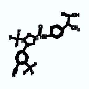 CN(C(=O)O)c1ccc(NC(=O)[C@@H]2CN(c3ccc(C#N)c(C(F)(F)F)c3)[C@@H](C(F)(F)F)O2)cc1